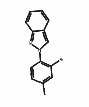 Cc1ccc(-n2cc3ccccc3n2)c(Br)c1